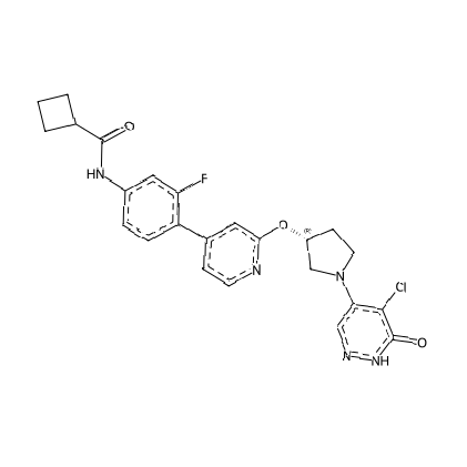 O=C(Nc1ccc(-c2ccnc(O[C@@H]3CCN(c4cn[nH]c(=O)c4Cl)C3)c2)c(F)c1)C1CCC1